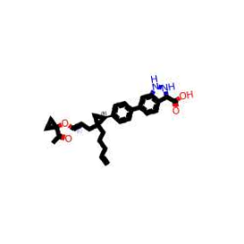 C=CCCCC1(C/C=C/OC2(C(C)=O)CC2)C[C@H]1c1ccc(-c2ccc3c(c2)NNC3C(=O)O)cc1